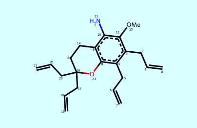 C=CCc1c(CC=C)c2c(c(N)c1OC)CCC(CC=C)(CC=C)O2